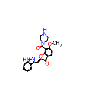 COc1ccc2c(c1C(=O)N1CCNCC1)OC(=Cc1n[nH]c3ccccc13)C2=O